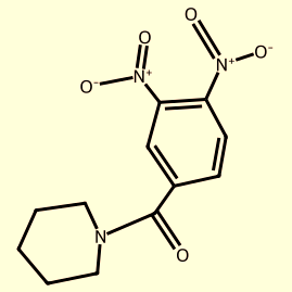 O=C(c1ccc([N+](=O)[O-])c([N+](=O)[O-])c1)N1CCCCC1